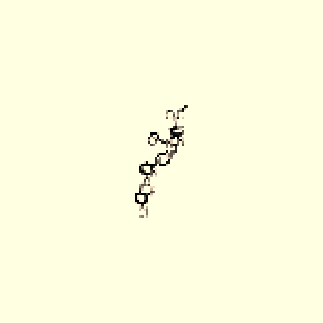 CCOC(=O)c1cc2c(nc(CN3CCN(c4cccc(OCc5ccc(Cl)cc5F)n4)CC3)n2CC2CCO2)s1